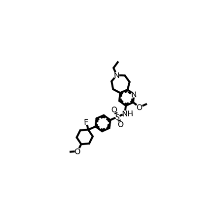 CCN1CCc2cc(NS(=O)(=O)c3ccc(C4(F)CCC(OC)CC4)cc3)c(OC)nc2CC1